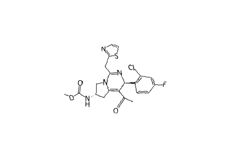 COC(=O)N[C@H]1CC2=C(C(C)=O)[C@H](c3ccc(F)cc3Cl)N=C(Cc3nccs3)N2C1